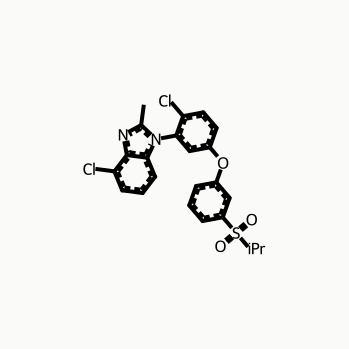 Cc1nc2c(Cl)cccc2n1-c1cc(Oc2cccc(S(=O)(=O)C(C)C)c2)ccc1Cl